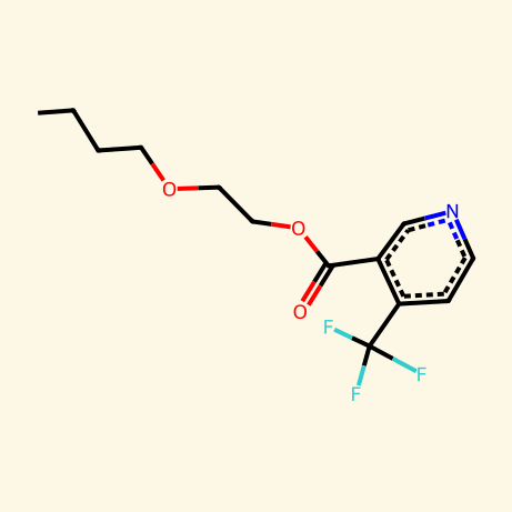 CCCCOCCOC(=O)c1cnccc1C(F)(F)F